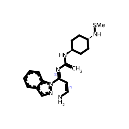 C=C(/N=C(\C=C/N)n1ncc2ccccc21)N[C@H]1CC[C@H](NSC)CC1